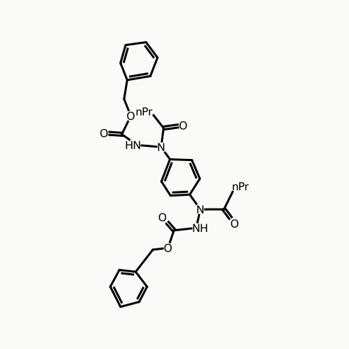 CCCC(=O)N(NC(=O)OCc1ccccc1)c1ccc(N(NC(=O)OCc2ccccc2)C(=O)CCC)cc1